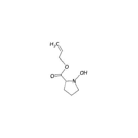 C=CCOC(=O)C1CCCN1O